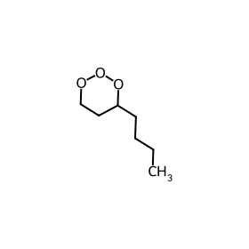 CCCCC1CCOOO1